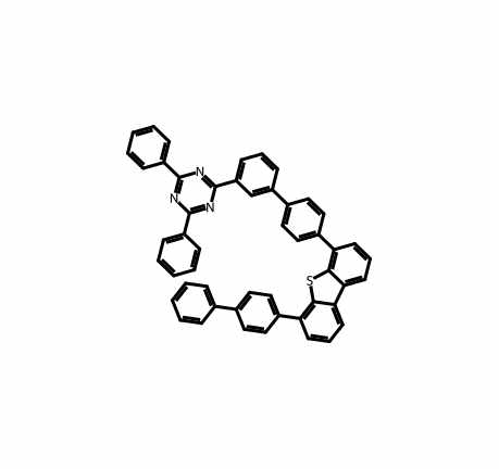 c1ccc(-c2ccc(-c3cccc4c3sc3c(-c5ccc(-c6cccc(-c7nc(-c8ccccc8)nc(-c8ccccc8)n7)c6)cc5)cccc34)cc2)cc1